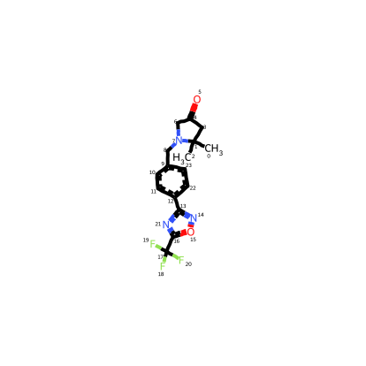 CC1(C)CC(=O)CN1Cc1ccc(-c2noc(C(F)(F)F)n2)cc1